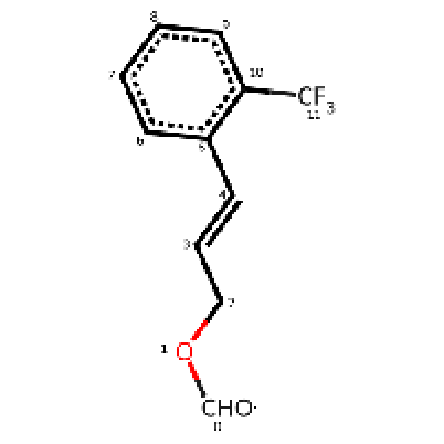 O=[C]OCC=Cc1ccccc1C(F)(F)F